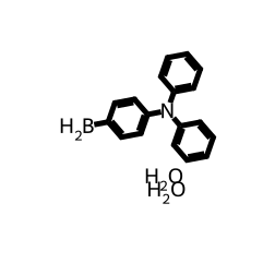 Bc1ccc(N(c2ccccc2)c2ccccc2)cc1.O.O